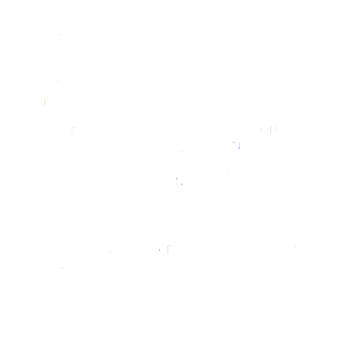 Cc1c(Cc2c(F)cccc2C(F)(F)F)c2n(c(=O)c1-c1cccc(C(C)(F)F)c1F)C(C(=NO)c1ccccc1)CS2